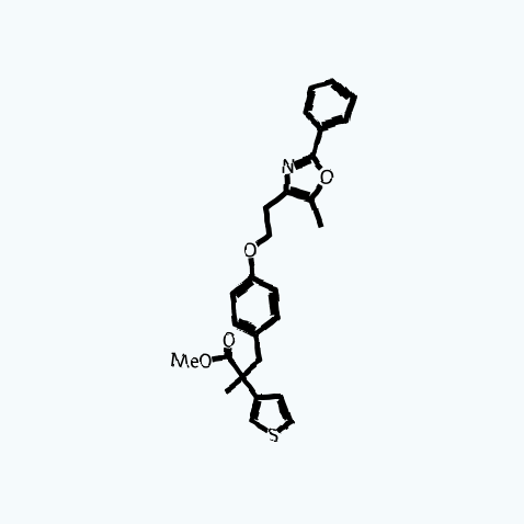 COC(=O)C(C)(Cc1ccc(OCCc2nc(-c3ccccc3)oc2C)cc1)c1ccsc1